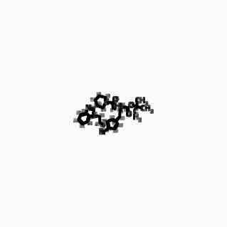 CC(C)(C)OC(=O)N[C@@H](CC(=O)N1CCC[C@@H](c2nc3ccccc3n2CCF)C1)Cc1ccc(Br)cc1